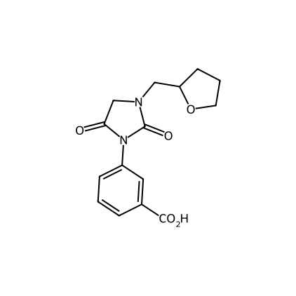 O=C(O)c1cccc(N2C(=O)CN(CC3CCCO3)C2=O)c1